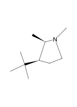 C[C@@H]1[C@H](C(C)(C)C)CCN1C